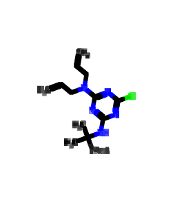 C=CCN(CC=C)c1nc(Cl)nc(NC(C)(C)CCCCC)n1